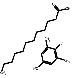 CCCCCCCCCCCC(=O)O.Cc1cc(O)cc(C)c1Cl